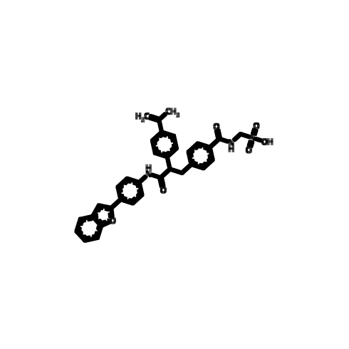 C=C(C)c1ccc(C(Cc2ccc(C(=O)NCS(=O)(=O)O)cc2)C(=O)Nc2ccc(-c3cc4ccccc4o3)cc2)cc1